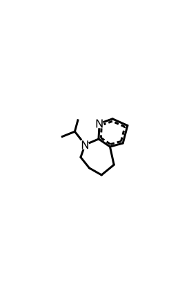 CC(C)N1CCCCc2cccnc21